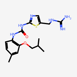 Cc1ccc(NC(=O)Nc2ncc(CNC(=N)N)s2)c(OCC(C)C)c1